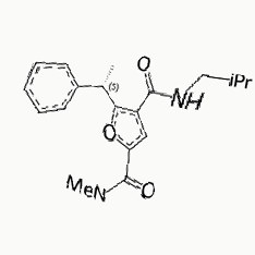 CNC(=O)c1cc(C(=O)NCC(C)C)c([C@@H](C)c2ccccc2)o1